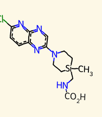 C[Si]1(CNC(=O)O)CCN(c2cnc3nc(Cl)ccc3n2)CC1